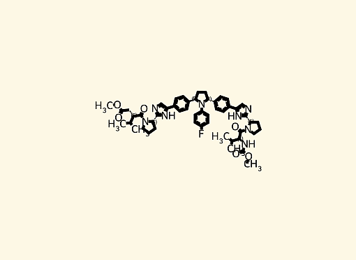 COC(=O)C[C@H](C(=O)N1CCC[C@H]1c1ncc(-c2ccc([C@H]3CC[C@H](c4ccc(-c5cnc([C@@H]6CCCN6C(=O)[C@@H](NC(=O)OC)C(C)C)[nH]5)cc4)N3c3ccc(F)cc3)cc2)[nH]1)C(C)C